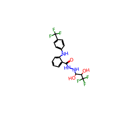 O=C(NNC(O)C(O)C(F)(F)F)c1ccccc1Nc1ccc(C(F)(F)F)cc1